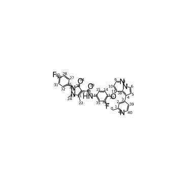 Cc1cc(-c2ccn3nccc(Oc4ccc(NC(=O)c5c(C)n(C)n(-c6ccc(F)cc6)c5=O)cc4F)c23)ccn1